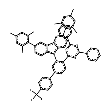 Cc1cc(C)c(-c2ccc3c(c2)c2cc(-c4c(C)cc(C)cc4C)ccc2n3-c2cc(-c3ccc(C(F)(F)F)cc3)ccc2-c2nc(-c3ccccc3)nc(-c3ccccc3)n2)c(C)c1